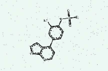 CCS(=O)(=O)Nc1ccc(-c2ccnc3[nH]ccc23)cc1C#N